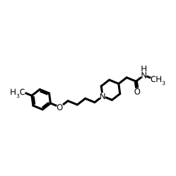 CNC(=O)CC1CCN(CCCCOc2ccc(C)cc2)CC1